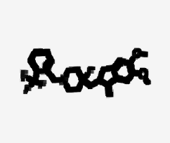 C=C1c2cc(OC)c(OC)cc2CC1CC1(F)CCN(Cc2ccccc2C(F)(F)F)CC1